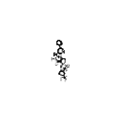 O=C(N1CCc2nc(C3(c4cncc(-c5ccccc5)c4)CC3)[nH]c(=O)c2C1)C(F)(F)c1cccc(C(F)(F)F)c1